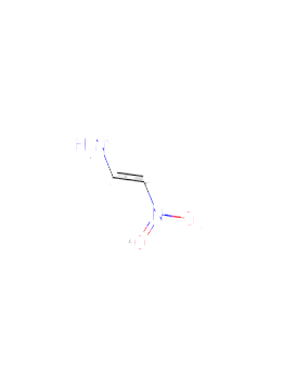 NC=C[N+](=O)[O-]